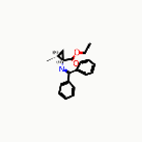 CCOC(=O)[C@]1(N=C(c2ccccc2)c2ccccc2)C[C@H]1C